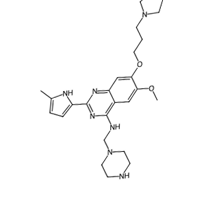 COc1cc2c(NCN3CCNCC3)nc(-c3ccc(C)[nH]3)nc2cc1OCCCN1CCCC1